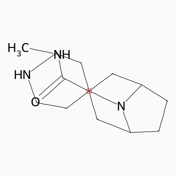 CNC(=O)C1CC2CCC(C1)N2C1CCNCC1